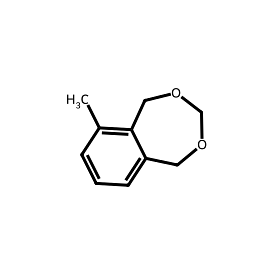 Cc1cccc2c1COCOC2